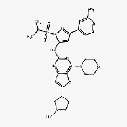 Cc1cccc(-c2cc(Nc3nc(N4CCOCC4)c4oc(C5CCN(C)C5)cc4n3)n(S(=O)(=O)N(C)C)n2)c1